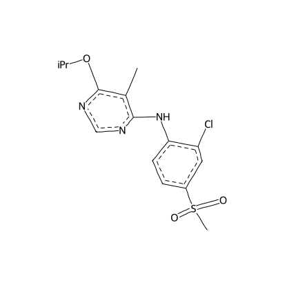 Cc1c(Nc2ccc(S(C)(=O)=O)cc2Cl)ncnc1OC(C)C